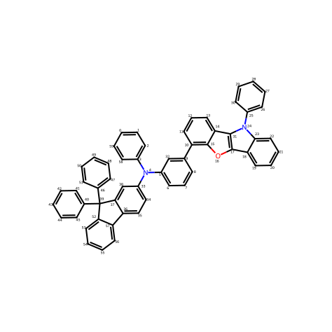 c1ccc(N(c2cccc(-c3cccc4c3oc3c5ccccc5n(-c5ccccc5)c43)c2)c2ccc3c(c2)C(c2ccccc2)(c2ccccc2)c2ccccc2-3)cc1